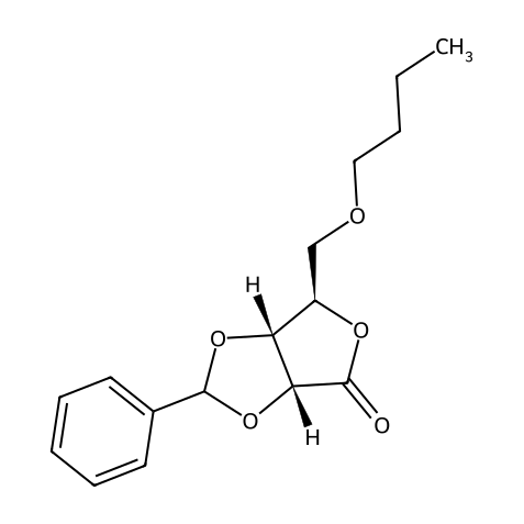 CCCCOC[C@H]1OC(=O)[C@@H]2OC(c3ccccc3)O[C@H]12